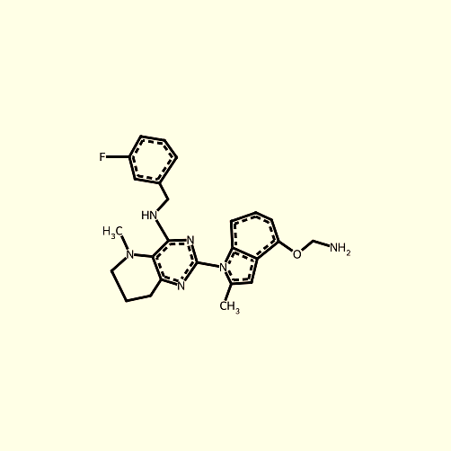 Cc1cc2c(OCN)cccc2n1-c1nc2c(c(NCc3cccc(F)c3)n1)N(C)CCC2